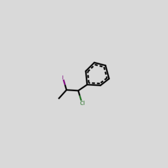 CC(I)C(Cl)c1ccccc1